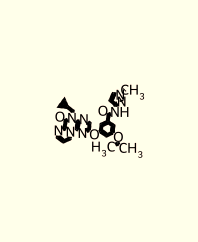 CC(C)Oc1cc(Oc2cnc(N(CC3CC3)C(=O)c3ncccn3)cn2)cc(C(=O)Nc2ccn(C)n2)c1